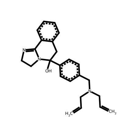 C=CCN(CC=C)Cc1ccc(C2(O)Cc3ccccc3C3=NCCN32)cc1